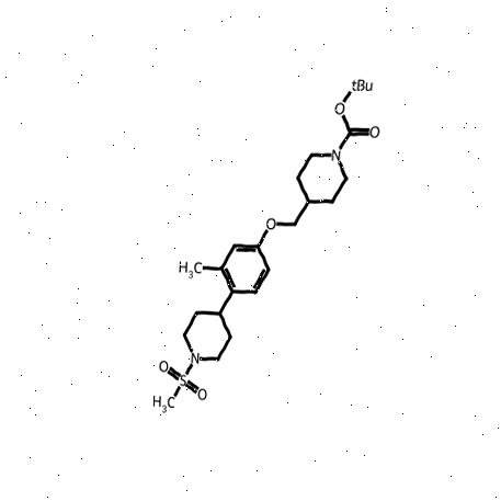 Cc1cc(OCC2CCN(C(=O)OC(C)(C)C)CC2)ccc1C1CCN(S(C)(=O)=O)CC1